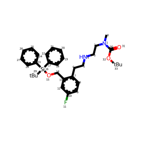 CN(CCNCCc1ccc(F)cc1CO[Si](c1ccccc1)(c1ccccc1)C(C)(C)C)C(=O)OC(C)(C)C